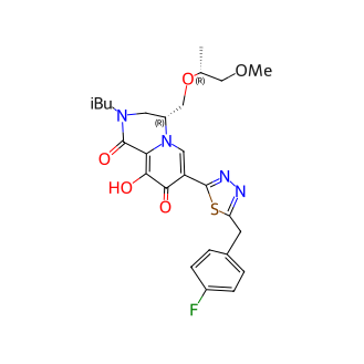 CCC(C)N1C[C@H](CO[C@H](C)COC)n2cc(-c3nnc(Cc4ccc(F)cc4)s3)c(=O)c(O)c2C1=O